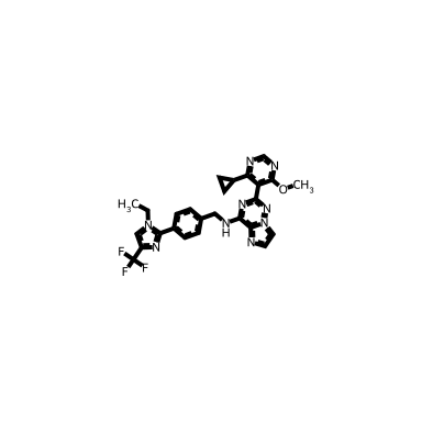 CCn1cc(C(F)(F)F)nc1-c1ccc(CNc2nc(-c3c(OC)ncnc3C3CC3)nn3ccnc23)cc1